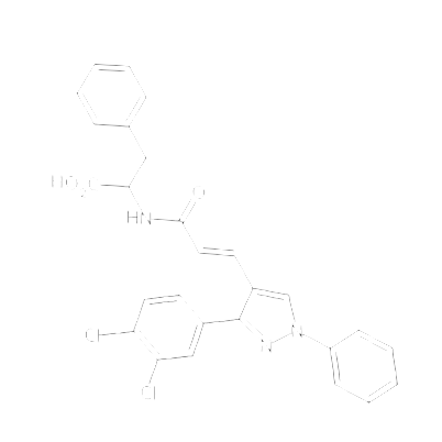 O=C(/C=C/c1cn(-c2ccccc2)nc1-c1ccc(Cl)c(Cl)c1)NC(Cc1ccccc1)C(=O)O